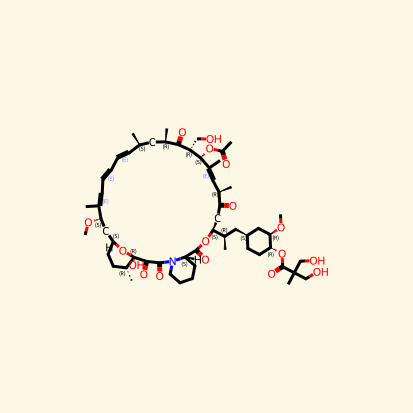 CO[C@H]1C[C@@H]2CC[C@@H](C)[C@@](O)(O2)C(=O)C(=O)N2CCCC[C@H]2C(=O)O[C@H]([C@H](C)C[C@@H]2CC[C@@H](OC(=O)C(C)(CO)CO)[C@H](OC)C2)CC(=O)[C@H](C)/C=C(\C)[C@@H](OC(C)=O)[C@@H](CO)C(=O)[C@H](C)C[C@H](C)/C=C/C=C/C=C/1C